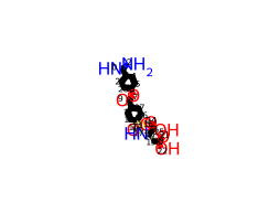 N=C(N)c1ccc(OC(=O)c2ccc(S(=O)(=O)N[C@@H](CC(=O)O)C(=O)O)cc2)cc1